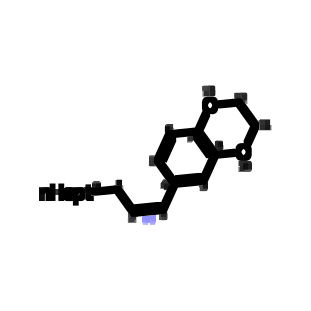 CCCCCCCC/C=C\c1ccc2c(c1)OCCO2